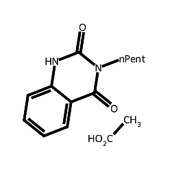 CC(=O)O.CCCCCn1c(=O)[nH]c2ccccc2c1=O